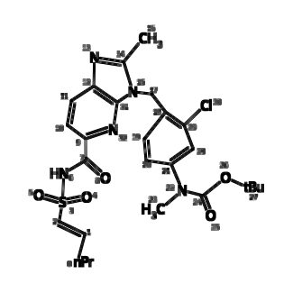 CCCC=CS(=O)(=O)NC(=O)c1ccc2nc(C)n(Cc3ccc(N(C)C(=O)OC(C)(C)C)cc3Cl)c2n1